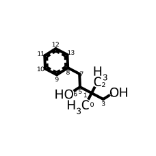 CC(C)(CO)C(O)Cc1ccccc1